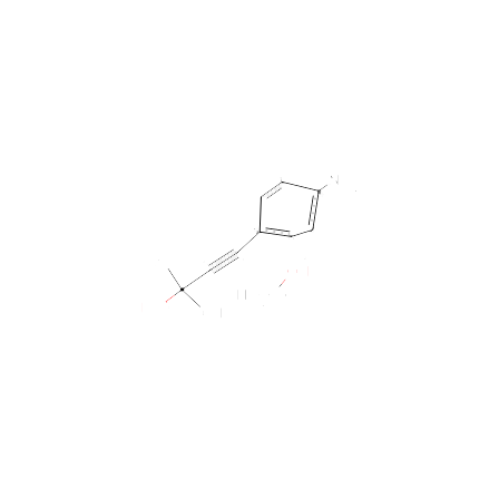 CC(C)(O)C#Cc1ccc([N+](=O)[O-])cc1.O=C(O)O